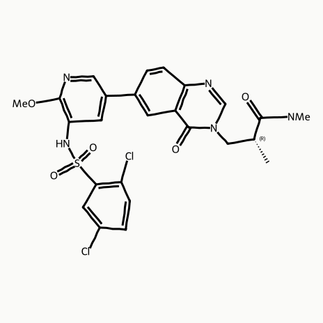 CNC(=O)[C@H](C)Cn1cnc2ccc(-c3cnc(OC)c(NS(=O)(=O)c4cc(Cl)ccc4Cl)c3)cc2c1=O